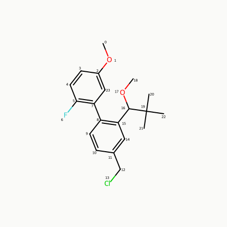 COc1ccc(F)c(-c2ccc(CCl)cc2C(OC)C(C)(C)C)c1